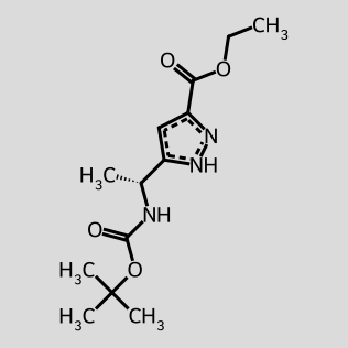 CCOC(=O)c1cc([C@@H](C)NC(=O)OC(C)(C)C)[nH]n1